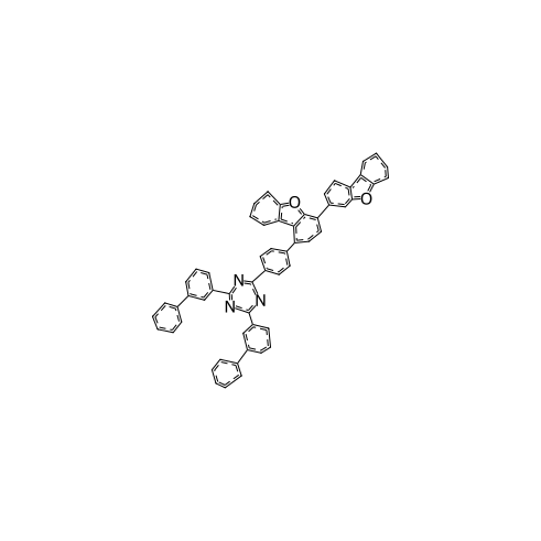 c1ccc(-c2cccc(-c3nc(-c4ccc(-c5ccc(-c6ccc7c(c6)oc6ccccc67)c6oc7ccccc7c56)cc4)nc(-c4cccc(-c5ccccc5)c4)n3)c2)cc1